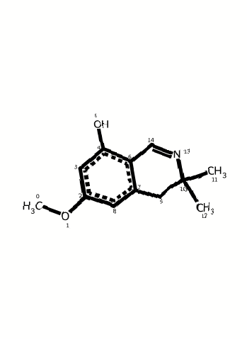 COc1cc(O)c2c(c1)CC(C)(C)N=C2